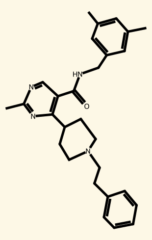 Cc1cc(C)cc(CNC(=O)c2cnc(C)nc2C2CCN(CCc3ccccc3)CC2)c1